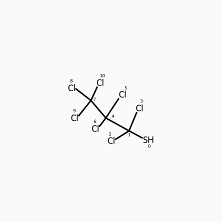 SC(Cl)(Cl)C(Cl)(Cl)C(Cl)(Cl)Cl